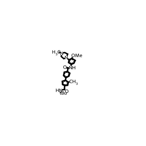 COc1ccc(NC(=O)c2ccc(-c3ccc(C(=O)NC(C)(C)C)cc3C)cc2)cc1N1CCN(C)CC1